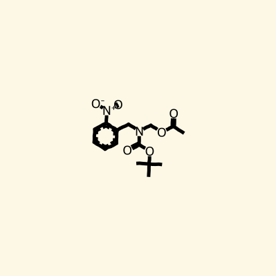 CC(=O)OCN(Cc1ccccc1[N+](=O)[O-])C(=O)OC(C)(C)C